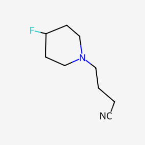 N#CCCCN1CCC(F)CC1